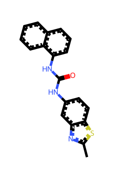 Cc1nc2cc(NC(=O)Nc3cccc4ccccc34)ccc2s1